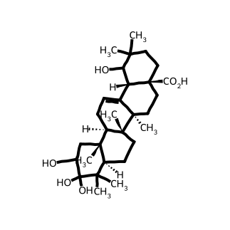 CC1(C)CC[C@]2(C(=O)O)CC[C@]3(C)C(=CC[C@@H]4[C@@]5(C)CC(O)C(O)(O)C(C)(C)[C@@H]5CC[C@]43C)[C@@H]2C1O